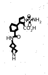 NS(=O)(=O)n1ccc(-c2cccc(C(=O)NC3CC4(CNC4)C3)c2)c1C(=O)O